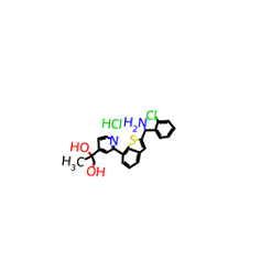 CC(O)(CO)c1ccnc(-c2cccc3cc([C@H](N)c4ccccc4Cl)sc23)c1.Cl